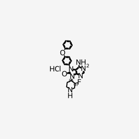 Cl.Nc1ncnc2c1n(-c1ccc(Oc3ccccc3)cc1)c(=O)n2[C@@H]1CCNC[C@@H]1F